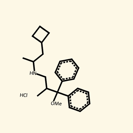 COC(c1ccccc1)(c1ccccc1)C(C)CNC(C)CC1CCC1.Cl